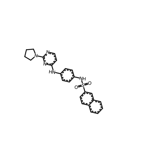 O=S(=O)(Nc1ccc(Nc2ccnc(N3CCCC3)n2)cc1)c1ccc2ccccc2c1